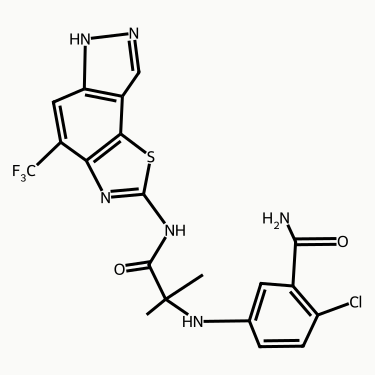 CC(C)(Nc1ccc(Cl)c(C(N)=O)c1)C(=O)Nc1nc2c(C(F)(F)F)cc3[nH]ncc3c2s1